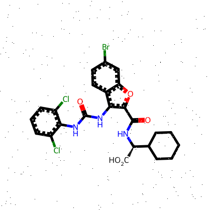 O=C(Nc1c(Cl)cccc1Cl)Nc1c(C(=O)N[C@H](C(=O)O)C2CCCCC2)oc2cc(Br)ccc12